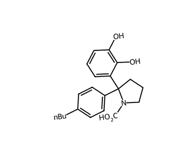 CCCCc1ccc(C2(c3cccc(O)c3O)CCCN2C(=O)O)cc1